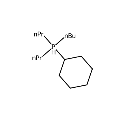 CCCC[PH](CCC)(CCC)C1CCCCC1